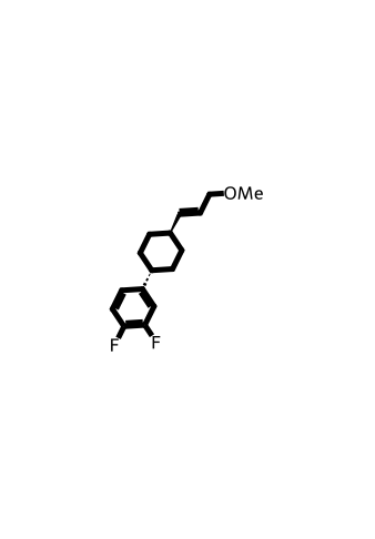 COCC=C[C@H]1CC[C@H](c2ccc(F)c(F)c2)CC1